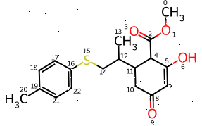 COC(=O)C1C(O)=CC(=O)CC1C(C)CSc1ccc(C)cc1